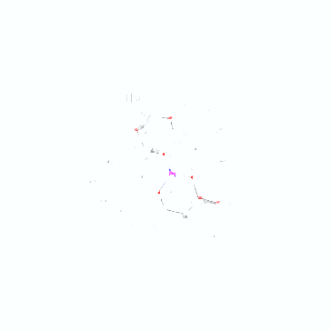 CC(C)(C)c1ccc(N(c2ccccc2-c2ccccc2)c2ccccc2-c2cccc3cccc(C4CCCCC4)c23)c(-c2ccccc2)c1